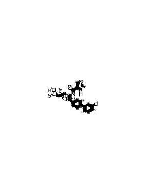 CCOC[C@](C)(C[C@@H](Cc1ccc(-c2cccc(Cl)c2)cc1)NC(=O)c1cnn[nH]1)C(=O)O